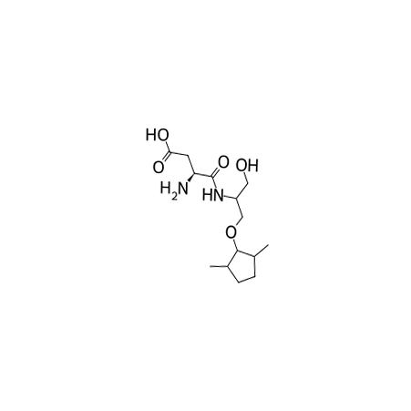 CC1CCC(C)C1OCC(CO)NC(=O)[C@@H](N)CC(=O)O